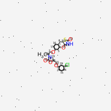 C[C@@H](COc1ccc(CC2SC(=O)NC2=O)cc1)N1C[C@@H](COc2cccc(Cl)c2)OC1=O